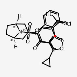 O=C(O)c1cc(F)cc(S(=O)(=O)N2[C@@H]3CC[C@H]2C[C@@H](OC(=O)c2c(-c4c(Cl)cccc4Cl)noc2C2CC2)C3)c1